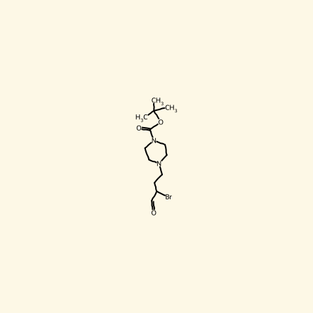 CC(C)(C)OC(=O)N1CCN(CCC(Br)C=O)CC1